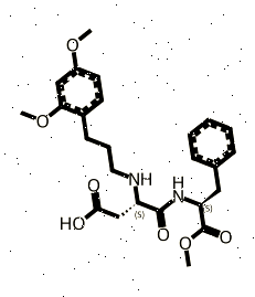 COC(=O)[C@H](Cc1ccccc1)NC(=O)[C@H](CC(=O)O)NCCCc1ccc(OC)cc1OC